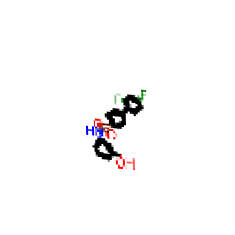 O=S(=O)(Nc1cccc(CO)c1)c1ccc(-c2ccc(F)cc2F)cc1